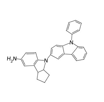 Nc1ccc2c(c1)C1CCCC1N2c1ccc2c(c1)c1ccccc1n2-c1ccccc1